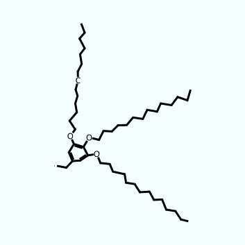 [CH2]Cc1cc(OCCCCCCCCCCCCCC)c(OCCCCCCCCCCCCCC)c(OCCCCCCCCCCCCCC)c1